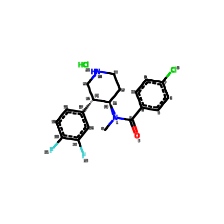 CN(C(=O)c1ccc(Cl)cc1)[C@@H]1CCNC[C@H]1c1ccc(F)c(F)c1.Cl